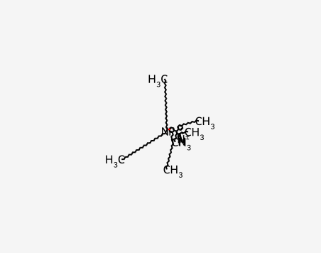 CCCCCCCCCCCCCC#CCCc1ccccc1C(=C(CCCC)C(=C=[N+]=[N-])CCCC)c1ccc(CCCCCCCC)cc1.CCCCCCCCCCCCCCCCCCCCCCC[CH2][Ni][CH2]CCCCCCCCCCCCCCCCCCCCCCC